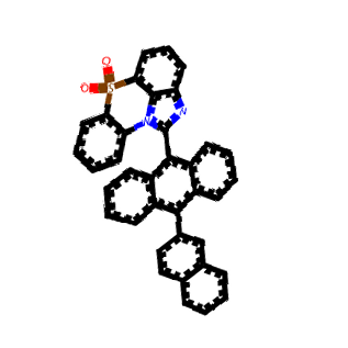 O=S1(=O)c2ccccc2-n2c(-c3c4ccccc4c(-c4ccc5ccccc5c4)c4ccccc34)nc3cccc1c32